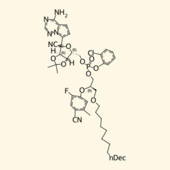 CCCCCCCCCCCCCCCCCCOC[C@H](COP(=O)(OC[C@H]1O[C@@](C#N)(c2ccc3c(N)ncnn23)[C@@H]2OC(C)(C)O[C@@H]21)Oc1ccccc1Cl)Oc1cc(C)c(C#N)cc1F